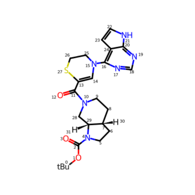 CC(C)(C)OC(=O)N1CC[C@H]2CCN(C(=O)C3=CN(c4ncnc5[nH]ccc45)CCS3)C[C@H]21